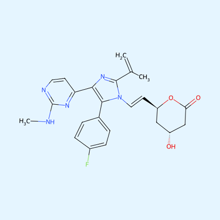 C=C(C)c1nc(-c2ccnc(NC)n2)c(-c2ccc(F)cc2)n1/C=C/[C@@H]1C[C@@H](O)CC(=O)O1